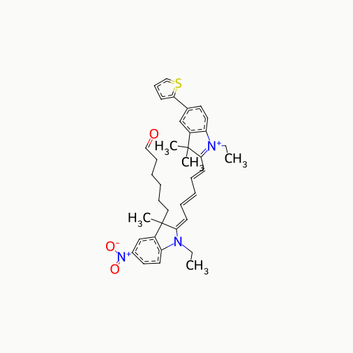 CCN1/C(=C/C=C/C=C/C2=[N+](CC)c3ccc(-c4cccs4)cc3C2(C)C)C(C)(CCCCCC=O)c2cc([N+](=O)[O-])ccc21